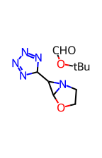 C1CN2C(O1)C2C1N=NN=N1.CC(C)(C)OC=O